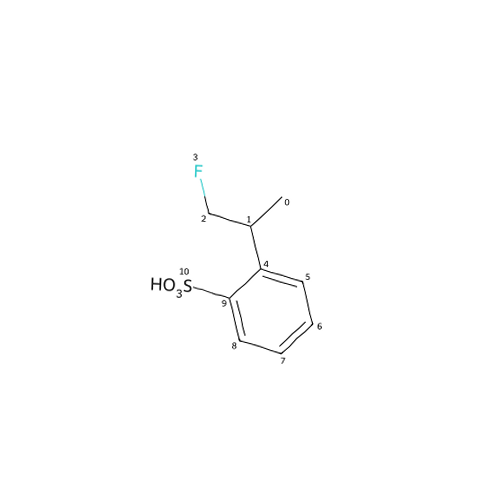 CC(CF)c1ccccc1S(=O)(=O)O